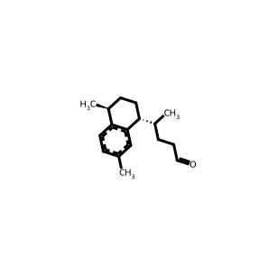 Cc1ccc2c(c1)[C@@H](C(C)CCC=O)CC[C@@H]2C